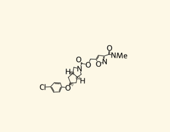 CNC(=O)c1cc(COC(=O)N2C[C@H]3C[C@@H](Oc4ccc(Cl)cc4)C[C@H]3C2)on1